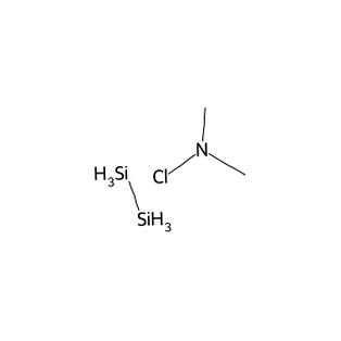 CN(C)Cl.[SiH3][SiH3]